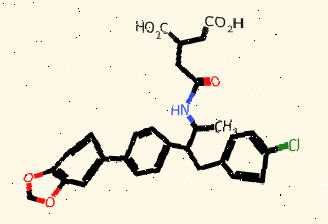 CC(NC(=O)CC(CC(=O)O)C(=O)O)C(Cc1ccc(Cl)cc1)c1ccc(-c2ccc3c(c2)OCO3)cc1